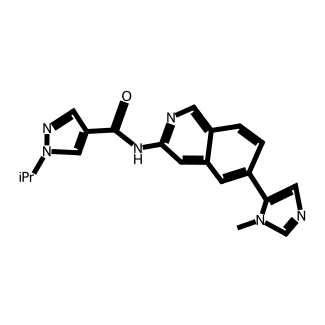 CC(C)n1cc(C(=O)Nc2cc3cc(-c4cncn4C)ccc3cn2)cn1